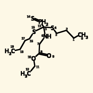 CCCCSC(NCC(=O)OCC)([PH2]=S)SCCCC